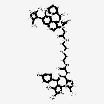 COc1cc2c(cc1-c1c(C)noc1C)ncc1c2n([C@H](C)c2ccccn2)c(=O)n1CC(=O)NCCOCCNC(=O)C[C@@H]1N=C(c2ccc(Cl)cc2)c2c(sc(C)c2C)-n2c(C)nnc21